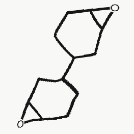 C1CC2OC2CC1C1CCC2OC2C1